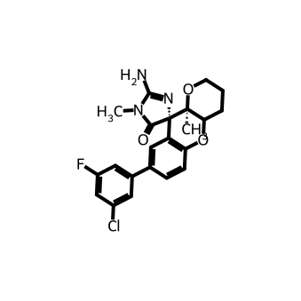 CN1C(=O)[C@]2(N=C1N)c1cc(-c3cc(F)cc(Cl)c3)ccc1OC1CCCO[C@@]12C